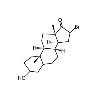 C[C@]12CCC(O)CC1CC[C@@H]1[C@H]2CC[C@]2(C)C(=O)C(Br)C[C@@H]12